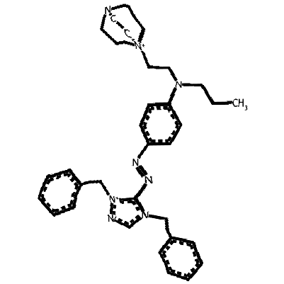 CCCN(CC[N+]12CCN(CC1)CC2)c1ccc(/N=N/c2n(Cc3ccccc3)cn[n+]2Cc2ccccc2)cc1